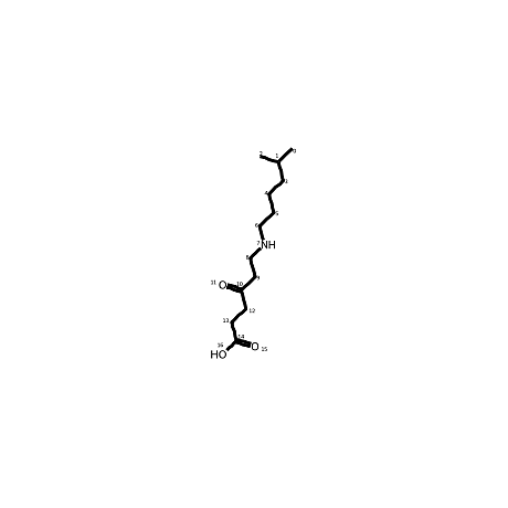 CC(C)CCCCNCCC(=O)CCC(=O)O